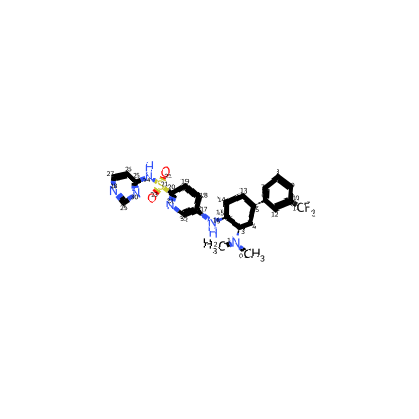 CN(C)[C@H]1C[C@@H](c2cccc(C(F)(F)F)c2)CC[C@@H]1Nc1ccc(S(=O)(=O)Nc2ccncn2)nc1